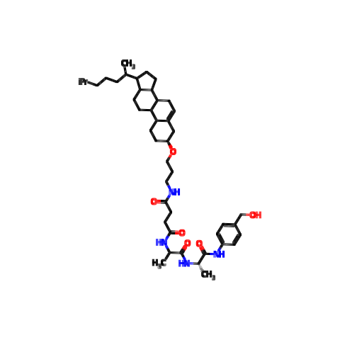 CC(C)CCCC(C)C1CCC2C1CCC1C3CC[C@H](OCCCNC(=O)CCC(=O)NC(C)C(=O)N[C@@H](C)C(=O)Nc4ccc(CO)cc4)CC3=CCC12